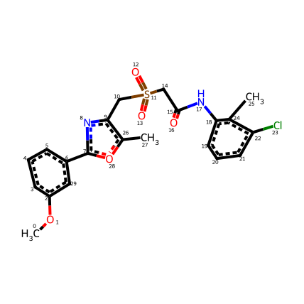 COc1cccc(-c2nc(CS(=O)(=O)CC(=O)Nc3cccc(Cl)c3C)c(C)o2)c1